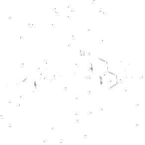 C=CC(=O)NCCCCOc1cccc2c(S(=O)(=O)[O-])cccc12.[Na+]